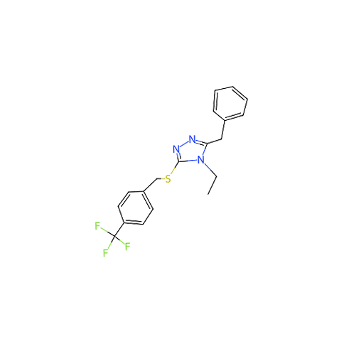 CCn1c(Cc2ccccc2)nnc1SCc1ccc(C(F)(F)F)cc1